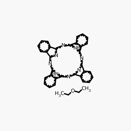 CCOCC.c1ccc2c(c1)-c1nc-2nc2[nH]c(nc3nc(nc4[nH]c(n1)c1ccccc41)-c1ccccc1-3)c1ccccc21